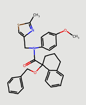 COc1ccc(N(Cc2csc(C)n2)C(=O)C2(OCc3ccccc3)CCCc3ccccc32)cc1